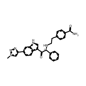 Cn1cc(-c2ccc3c(C(=O)[C@@H](NCCc4ccc(C(N)=O)cc4)c4ccccc4)c[nH]c3c2)nn1